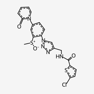 C[S+]([O-])c1cc(-n2ccccc2=O)ccc1-n1cc(CNC(=O)c2ccc(Cl)s2)nn1